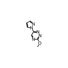 COc1ncc(-n2cccn2)nn1